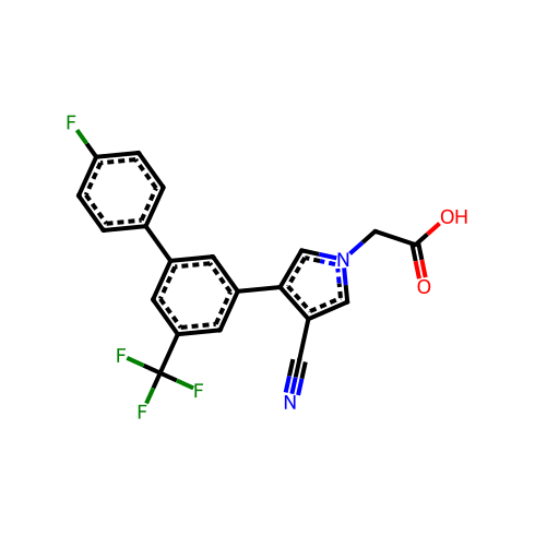 N#Cc1cn(CC(=O)O)cc1-c1cc(-c2ccc(F)cc2)cc(C(F)(F)F)c1